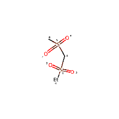 CCS(=O)(=O)CS(C)(=O)=O